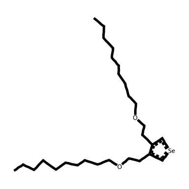 CCCCCCCCCCOCCc1c[se]cc1CCOCCCCCCCCCC